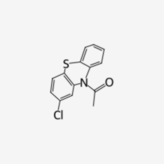 CC(=O)N1c2ccccc2Sc2ccc(Cl)cc21